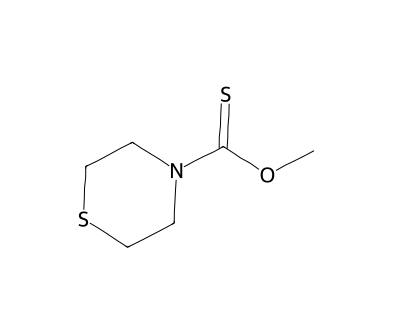 COC(=S)N1CCSCC1